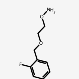 NOCCOCc1ccccc1F